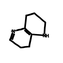 C1=[N+]C2=C(CC1)NCCC2